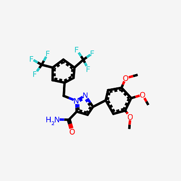 COc1cc(-c2cc(C(N)=O)n(Cc3cc(C(F)(F)F)cc(C(F)(F)F)c3)n2)cc(OC)c1OC